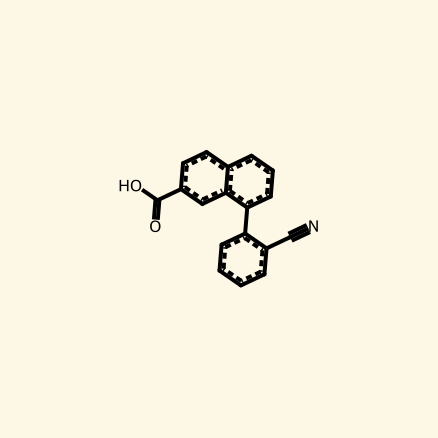 N#Cc1ccccc1-c1cccc2ccc(C(=O)O)cc12